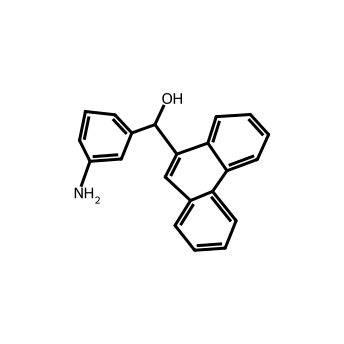 Nc1cccc(C(O)c2cc3ccccc3c3ccccc23)c1